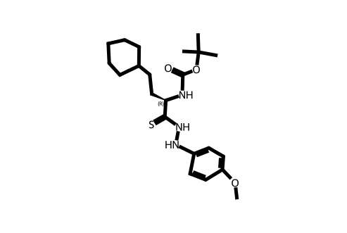 COc1ccc(NNC(=S)[C@@H](CCC2CCCCC2)NC(=O)OC(C)(C)C)cc1